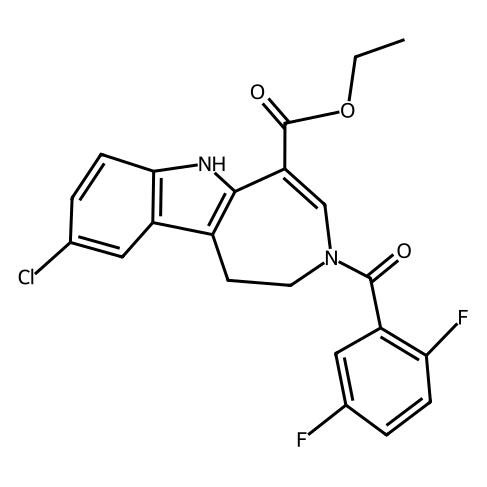 CCOC(=O)C1=CN(C(=O)c2cc(F)ccc2F)CCc2c1[nH]c1ccc(Cl)cc21